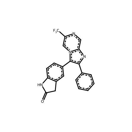 O=C1Cc2cc(-c3c(-c4ccccc4)nc4cnc(C(F)(F)F)cn34)ccc2N1